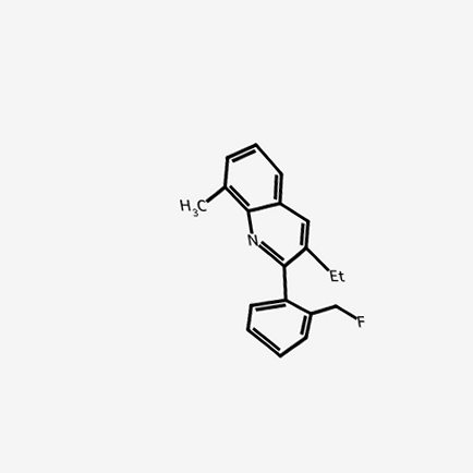 CCc1cc2cccc(C)c2nc1-c1ccccc1CF